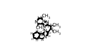 Cc1ncc(C)n2nc([C@@H](C)[C@@H](C)c3cn4c(n3)-c3ccccc3C4)nc12